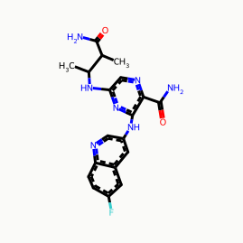 CC(Nc1cnc(C(N)=O)c(Nc2cnc3ccc(F)cc3c2)n1)C(C)C(N)=O